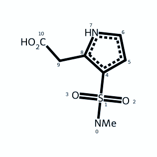 CNS(=O)(=O)c1cc[nH]c1CC(=O)O